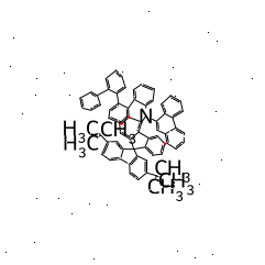 CC(C)(C)c1ccc2c(c1)C1(c3cc(C(C)(C)C)ccc3-2)c2ccccc2-c2c(N(c3ccccc3-c3ccccc3-c3ccccc3-c3ccccc3)c3cc4ccccc4c4ccccc34)cccc21